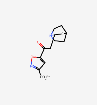 CCOC(=O)c1cc(C(=O)CC2CC3CC[N+]2CC3)on1